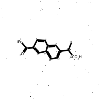 CC(C)C(=O)c1ccc2cc(C(C)C(=O)O)ccc2c1